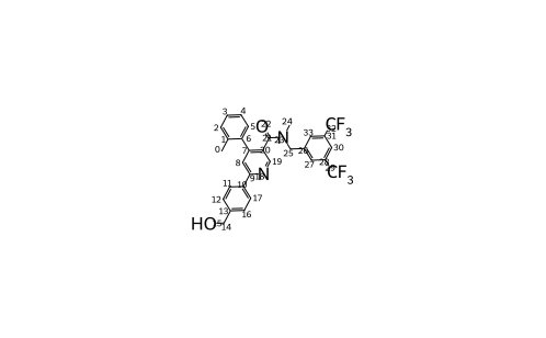 Cc1ccccc1-c1cc(-c2ccc(CO)cc2)ncc1C(=O)N(C)Cc1cc(C(F)(F)F)cc(C(F)(F)F)c1